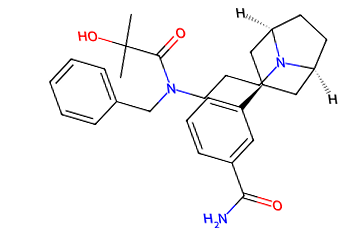 CC(C)(O)C(=O)N(CCCN1[C@@H]2CC[C@H]1C[C@@H](c1cccc(C(N)=O)c1)C2)Cc1ccccc1